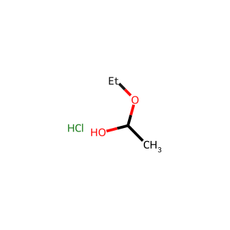 CCOC(C)O.Cl